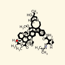 CC[C@]1(O)C[C@H]2C[N@](CCc3c([nH]c4ccccc34)[C@@](C(=O)OC)(c3cc4c(cc3OC)N(C=O)[C@H]3[C@@](O)(C(=O)OC)[C@H](OC(C)=O)[C@]5(CC)C=CCN6CC[C@]43[C@@H]65)C2)C1.CN(C)/N=N/c1[nH]cnc1C(N)=O